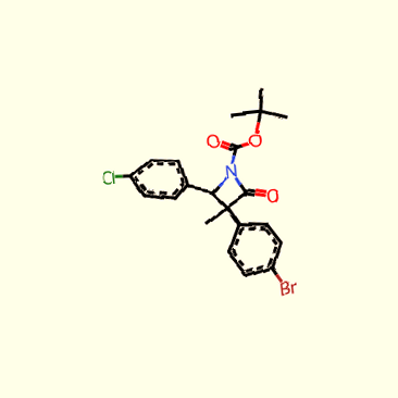 CC(C)(C)OC(=O)N1C(=O)C(C)(c2ccc(Br)cc2)C1c1ccc(Cl)cc1